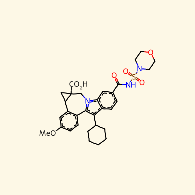 COc1ccc2c(c1)C1CC1(C(=O)O)Cn1c-2c(C2CCCCC2)c2ccc(C(=O)NS(=O)(=O)N3CCOCC3)cc21